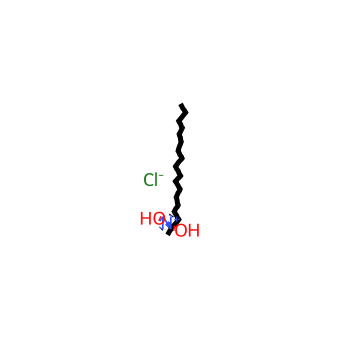 CCCCCCCCCCCCCCCCC(C)(O)[N+](C)(C)O.[Cl-]